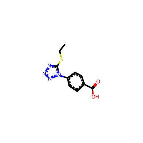 CCSc1nnnn1-c1ccc(C(=O)O)cc1